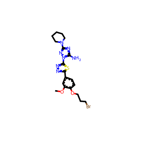 COc1cc(-c2nnc(-n3nc(N4CCCCC4)nc3N)s2)ccc1OCCCBr